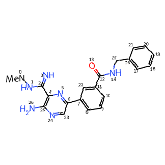 CNNC(=N)c1nc(-c2cccc(C(=O)NCc3ccccc3)c2)cnc1N